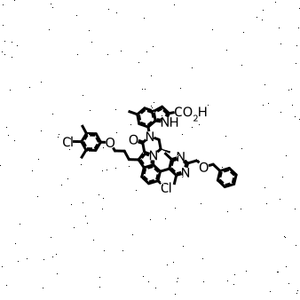 Cc1cc(N2C[C@@H](C)n3c(c(CCCOc4cc(C)c(Cl)c(C)c4)c4ccc(Cl)c(-c5c(C)nc(COCc6ccccc6)nc5C)c43)C2=O)c2[nH]c(C(=O)O)cc2c1